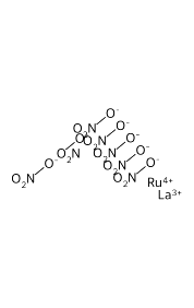 O=[N+]([O-])[O-].O=[N+]([O-])[O-].O=[N+]([O-])[O-].O=[N+]([O-])[O-].O=[N+]([O-])[O-].O=[N+]([O-])[O-].O=[N+]([O-])[O-].[La+3].[Ru+4]